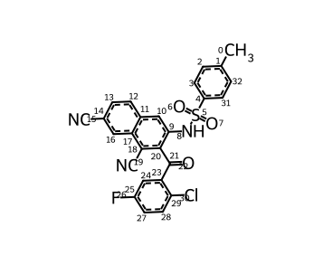 Cc1ccc(S(=O)(=O)Nc2cc3ccc(C#N)cc3c(C#N)c2C(=O)c2cc(F)ccc2Cl)cc1